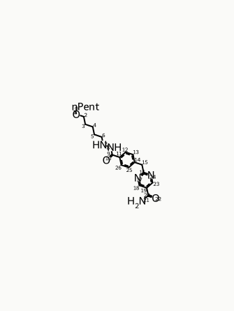 CCCCCOCCCCCNNC(=O)c1ccc(Cc2ncc(C(N)=O)cn2)cc1